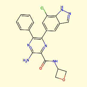 Nc1nc(-c2ccccc2)c(-c2cc(Cl)c3[nH]ncc3c2)nc1C(=O)NC1COC1